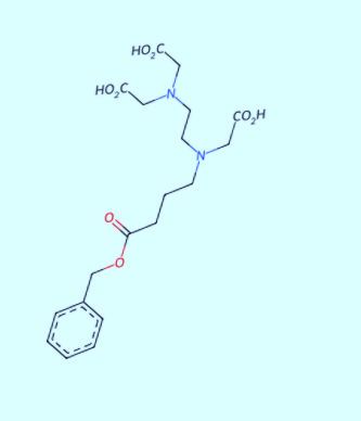 O=C(O)CN(CCCC(=O)OCc1ccccc1)CCN(CC(=O)O)CC(=O)O